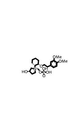 COc1ccc(CCO[C@H]2CCCC[C@H]2[N@+]2(COP(=O)(O)O)CC[C@@H](O)C2)cc1OC